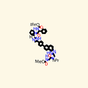 CCCN(Cc1nc2ccc3cc(-c4ccc(-c5cnc([C@@H]6[C@H]7CCC(C7)N6C(=O)[C@H](NC(=O)OC)c6ccccc6)[nH]5)cc4)ccc3c2[nH]1)C(=O)CNC(=O)OC